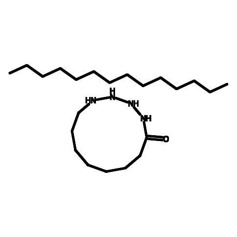 CCCCCCCCCCCCCC.O=C1CCCCCCCNNNN1